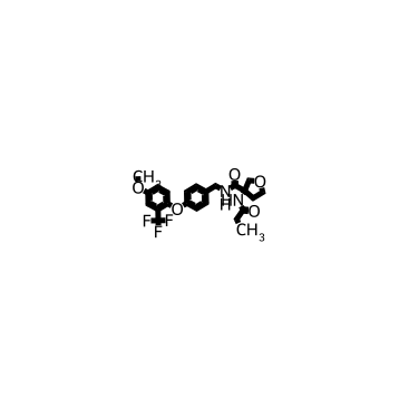 CCC(=O)NC1(C(=O)NCc2ccc(Oc3ccc(OC)cc3C(F)(F)F)cc2)CCOC1